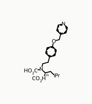 CC(C)C[C@@H](C(=O)O)N(CCc1ccc(OCc2ccncc2)cc1)C(=O)O